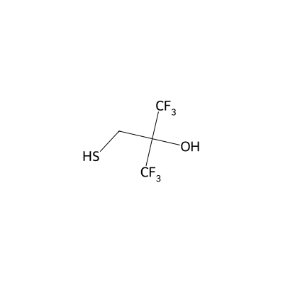 OC(CS)(C(F)(F)F)C(F)(F)F